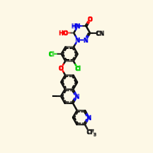 Cc1cc(-c2ccc(C(F)(F)F)nc2)nc2ccc(Oc3c(Cl)cc(N4N=C(C#N)C(=O)NC4O)cc3Cl)cc12